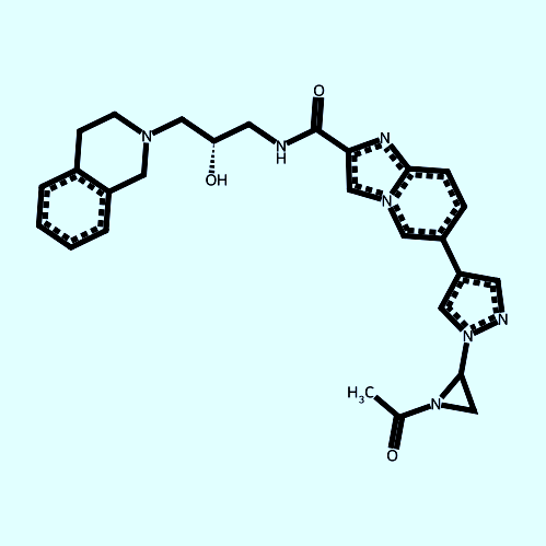 CC(=O)N1CC1n1cc(-c2ccc3nc(C(=O)NC[C@H](O)CN4CCc5ccccc5C4)cn3c2)cn1